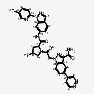 NC(=O)c1nn(CC(=O)N2CC(F)CC2C(=O)Nc2ccc3cnn(-c4ccc(F)cn4)c3c2)c2ccc(-c3ccnnc3)cc12